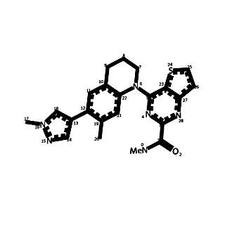 CNC(=O)c1nc(N2CCCc3cc(-c4cnn(C)c4)c(C)cc32)c2sccc2n1